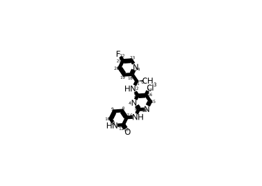 C[C@H](Nc1nc(Nc2ccc[nH]c2=O)ncc1Cl)c1ccc(F)cn1